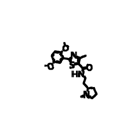 COc1ccc(OC)c(-c2nc(C)c(C(=O)NCCC3CCCN3C)s2)c1